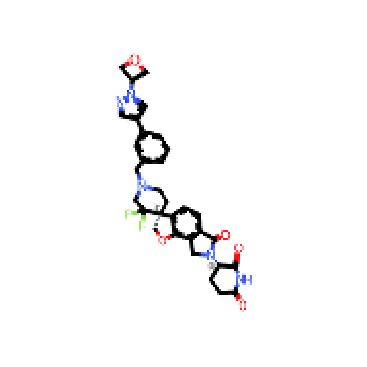 O=C1CC[C@H](N2Cc3c(ccc4c3OC[C@]43CCN(Cc4cccc(-c5cnn(C6COC6)c5)c4)CC3(F)F)C2=O)C(=O)N1